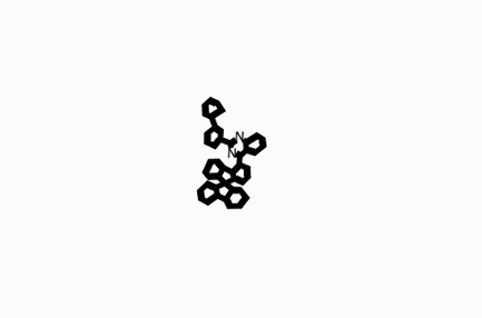 c1ccc(-c2cccc(-c3nc(-c4cccc5c4-c4ccccc4C54c5ccccc5-c5ccccc54)c4ccccc4n3)c2)cc1